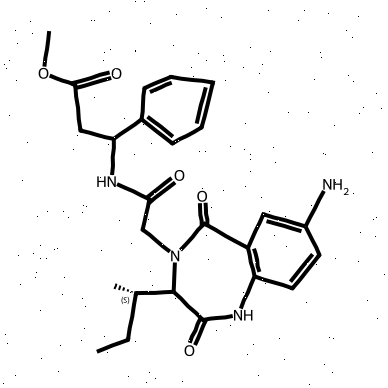 CC[C@H](C)C1C(=O)Nc2ccc(N)cc2C(=O)N1CC(=O)NC(CC(=O)OC)c1ccccc1